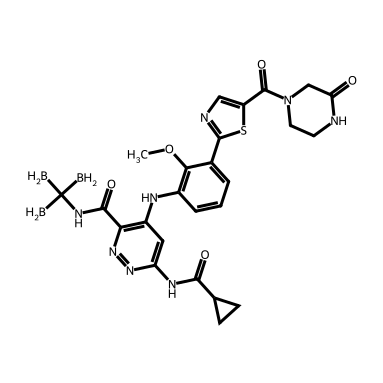 BC(B)(B)NC(=O)c1nnc(NC(=O)C2CC2)cc1Nc1cccc(-c2ncc(C(=O)N3CCNC(=O)C3)s2)c1OC